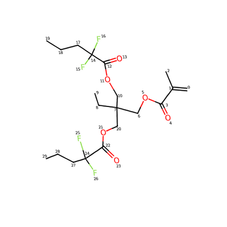 C=C(C)C(=O)OCC(CC)(COC(=O)C(F)(F)CCC)COC(=O)C(F)(F)CCC